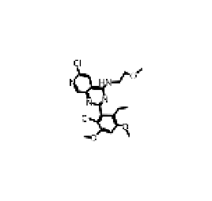 CCc1c(OC)cc(OC)c(Cl)c1-c1nc(NCCOC)c2cc(Cl)ncc2n1